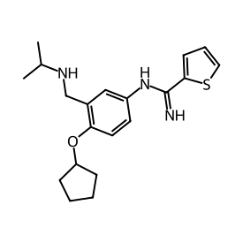 CC(C)NCc1cc(NC(=N)c2cccs2)ccc1OC1CCCC1